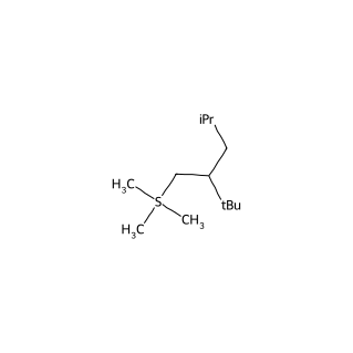 CC(C)CC(CS(C)(C)C)C(C)(C)C